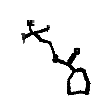 CCC(F)(F)CCOC(=O)C1CCCCC1